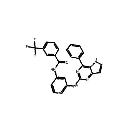 O=C(Nc1cccc(Nc2nc(-c3ccccc3)c3[nH]ccc3n2)c1)c1cccc(C(F)(F)F)c1